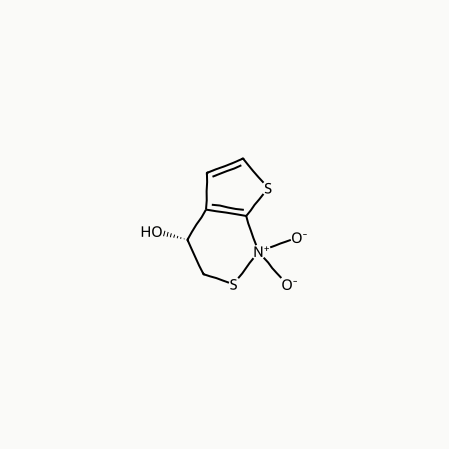 [O-][N+]1([O-])SC[C@H](O)c2ccsc21